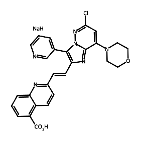 O=C(O)c1cccc2nc(C=Cc3nc4c(N5CCOCC5)cc(Cl)nn4c3-c3cccnc3)ccc12.[NaH]